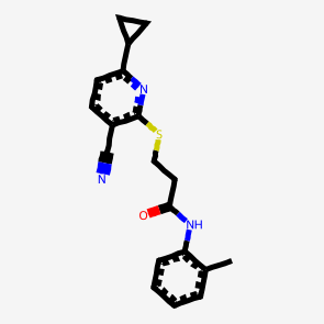 Cc1ccccc1NC(=O)CCSc1nc(C2CC2)ccc1C#N